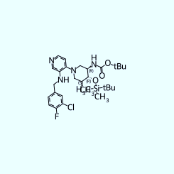 C[C@H]1CN(c2ccncc2NCc2ccc(F)c(Cl)c2)C[C@@H](NC(=O)OC(C)(C)C)[C@@H]1O[Si](C)(C)C(C)(C)C